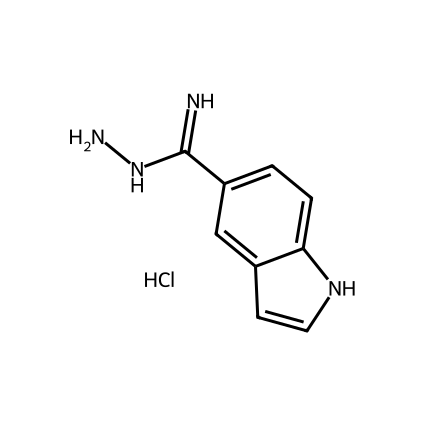 Cl.N=C(NN)c1ccc2[nH]ccc2c1